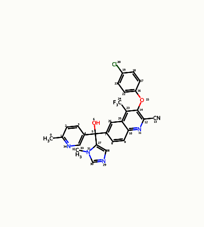 Cc1ccc(C(O)(c2ccc3nc(C#N)c(Oc4ccc(Cl)cc4)c(C(F)(F)F)c3c2)c2cncn2C)cn1